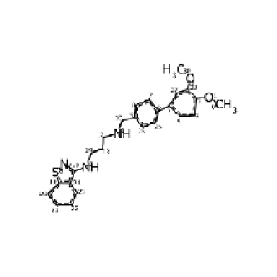 COc1ccc(-c2ccc(CNCCCNc3nsc4ccccc34)cc2)cc1OC